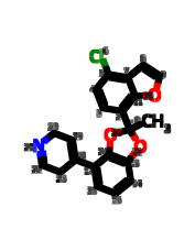 CC1(c2ccc(Cl)c3ccoc23)Oc2cccc(C3=CCN=CC3)c2O1